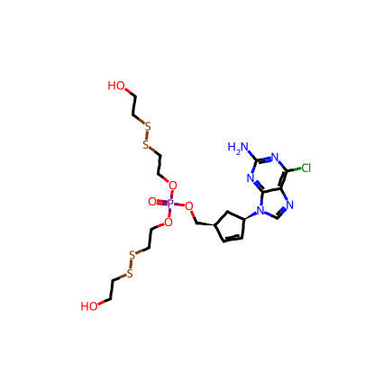 Nc1nc(Cl)c2ncn([C@H]3C=C[C@@H](COP(=O)(OCCSSCCO)OCCSSCCO)C3)c2n1